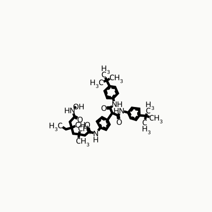 CCC(C)(CC(=O)NO)CC(C)(C)CC(=O)Nc1ccc(C(C(=O)Nc2ccc(C(C)(C)C)cc2)C(=O)Nc2ccc(C(C)(C)C)cc2)cc1